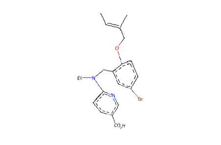 CC=C(C)COc1ccc(Br)cc1CN(CC)c1ccc(C(=O)O)cn1